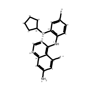 Nc1cc(F)c2c(Nc3ccc(F)cc3OC3CCCC3)ncnc2c1